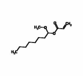 C=CC(=O)OC(CCCCCCC)OC